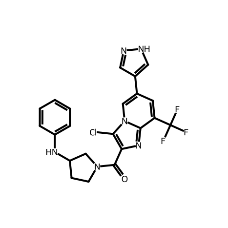 O=C(c1nc2c(C(F)(F)F)cc(-c3cn[nH]c3)cn2c1Cl)N1CCC(Nc2ccccc2)C1